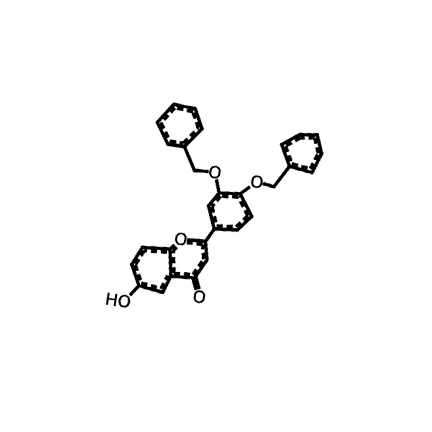 O=c1cc(-c2ccc(OCc3ccccc3)c(OCc3ccccc3)c2)oc2ccc(O)cc12